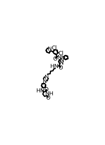 O=C1CCC(Nc2ccc(N3CCN(CCCCCCNC(=O)c4cc(NC(=O)c5cc(-c6ccccn6)c(Cl)cc5Cl)n(-c5ccccc5)n4)CC3)cc2)C(=O)N1